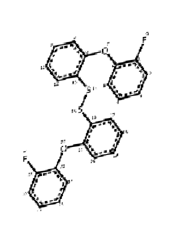 Fc1ccccc1Oc1ccccc1SSc1ccccc1Oc1ccccc1F